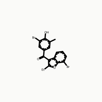 CCc1oc2c(Br)cccc2c1C(=O)c1cc(C)c(O)c(Br)c1